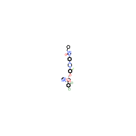 O=c1n(-c2ccc(N3CCN(c4ccc(OC[C@@H]5CO[C@@](Cn6nccn6)(c6ccc(Cl)cc6Cl)O5)cc4F)CC3)cc2)cnn1CC1CCCC1